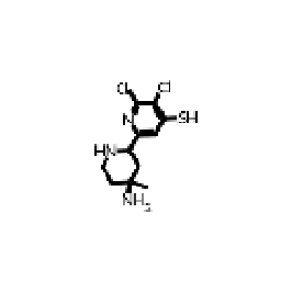 CC1(N)CCNC(c2cc(S)c(Cl)c(Cl)n2)C1